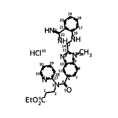 CCOC(=O)CCN(C(=O)c1ccc2c(c1)nc(CNc1ccccc1C(=N)N)n2C)c1ccccn1.Cl